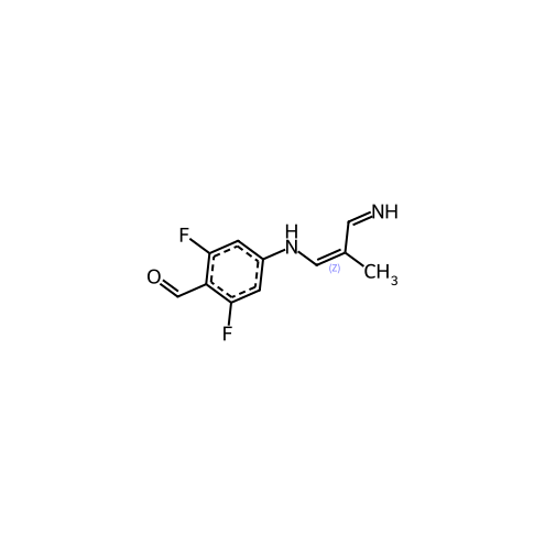 C/C(C=N)=C/Nc1cc(F)c(C=O)c(F)c1